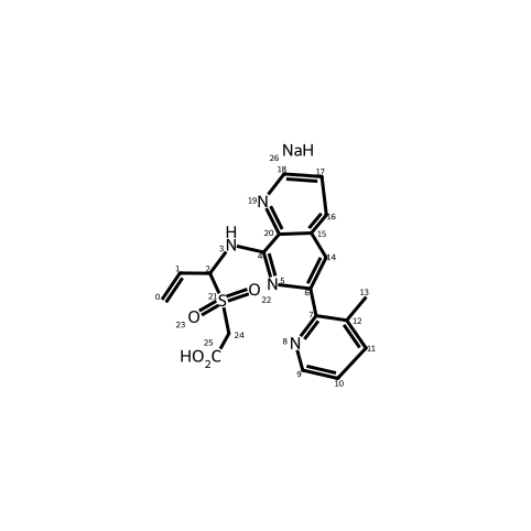 C=CC(Nc1nc(-c2ncccc2C)cc2cccnc12)S(=O)(=O)CC(=O)O.[NaH]